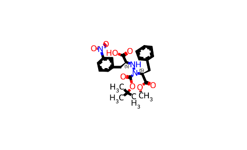 COC(=O)[C@H](Cc1ccccc1)N(N[C@@H](Cc1cccc([N+](=O)[O-])c1)C(=O)O)C(=O)OC(C)(C)C